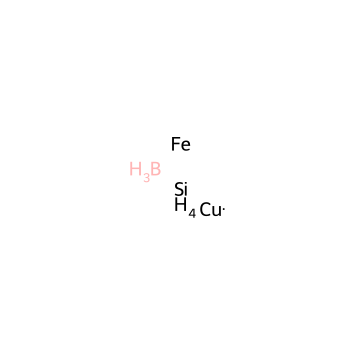 B.[Cu].[Fe].[SiH4]